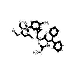 CCN([C@H](CO)CCC[C@@H](NC(=O)[C@@H](NC(=O)OC)C(c1ccccc1)c1ccccc1)C1CC1)S(=O)(=O)c1ccc(N)cc1